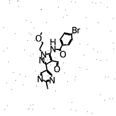 COCCn1nc(-c2cnc(C)nc2)c(C=O)c1NC(=O)c1ccc(Br)cc1